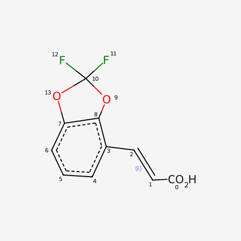 O=C(O)/C=C/c1cccc2c1OC(F)(F)O2